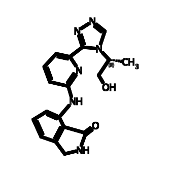 C[C@H](CO)n1cnnc1-c1cccc(Nc2cccc3c2C(=O)NC3)n1